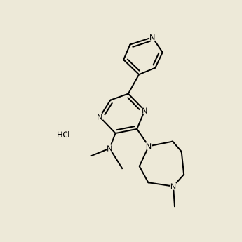 CN1CCCN(c2nc(-c3ccncc3)cnc2N(C)C)CC1.Cl